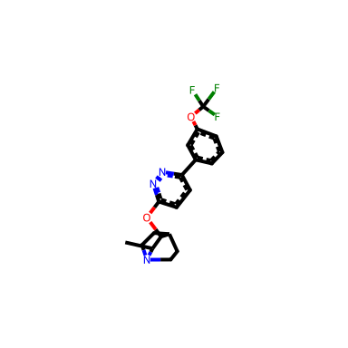 CC1C(Oc2ccc(-c3cccc(OC(F)(F)F)c3)nn2)C2CCN1CC2